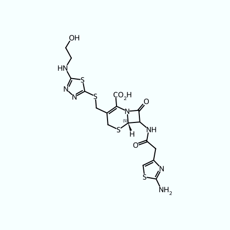 Nc1nc(CC(=O)NC2C(=O)N3C(C(=O)O)=C(CSc4nnc(NCCO)s4)CS[C@@H]23)cs1